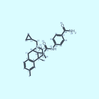 Cc1ccc2c(c1)[C@@]1(C)CCN(CC3CC3)C(C2)[C@H]1N(C)C(=O)Nc1ccc(C(N)=O)cc1